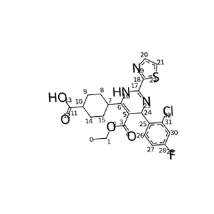 CCOC(=O)C1=C(C2CCC(C(=O)O)CC2)NC(c2nccs2)=NC1c1ccc(F)cc1Cl